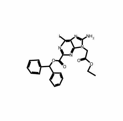 CCOC(=O)Cn1c(N)nc2c(I)nc(C(=O)OC(c3ccccc3)c3ccccc3)nc21